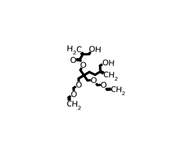 C=COCOCC(CCC(=C)CO)(COCOC=C)COC(=O)C(=C)CO